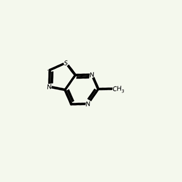 Cc1ncc2n[c]sc2n1